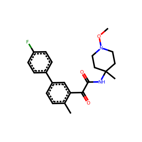 CON1CCC(C)(NC(=O)C(=O)c2cc(-c3ccc(F)cc3)ccc2C)CC1